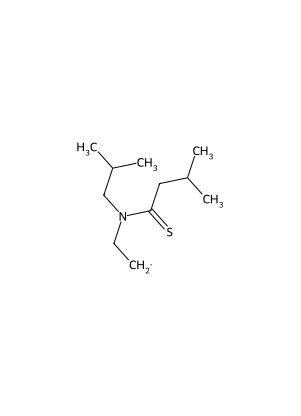 [CH2]CN(CC(C)C)C(=S)CC(C)C